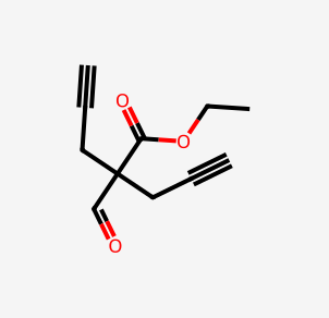 C#CCC(C=O)(CC#C)C(=O)OCC